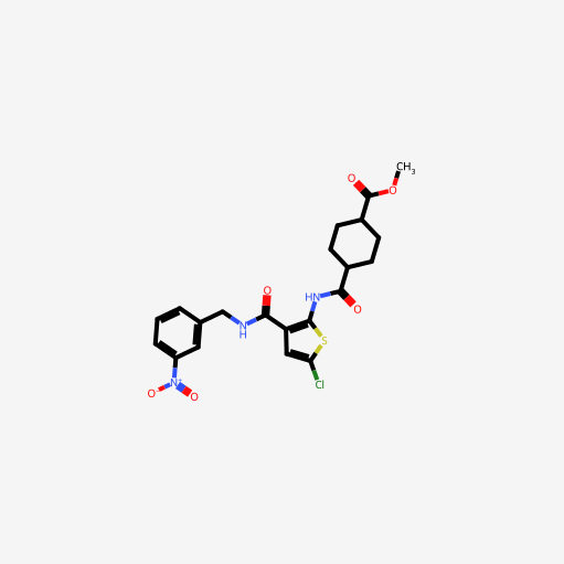 COC(=O)C1CCC(C(=O)Nc2sc(Cl)cc2C(=O)NCc2cccc([N+](=O)[O-])c2)CC1